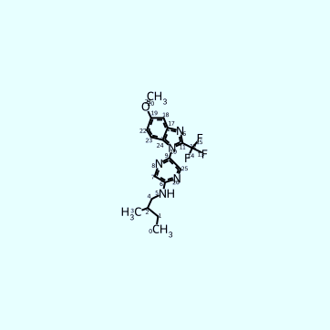 CCC(C)CNc1cnc(-n2c(C(F)(F)F)nc3cc(OC)ccc32)cn1